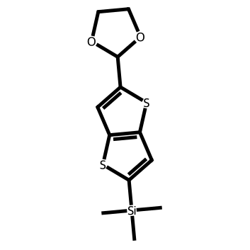 C[Si](C)(C)c1cc2sc(C3OCCO3)cc2s1